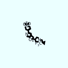 C[C@]1(C2CCN(CC3(C(F)(F)F)CC3)CC2)Cc2cc(C3=CCN(S(C)(=O)=O)CC3)ncc2O1